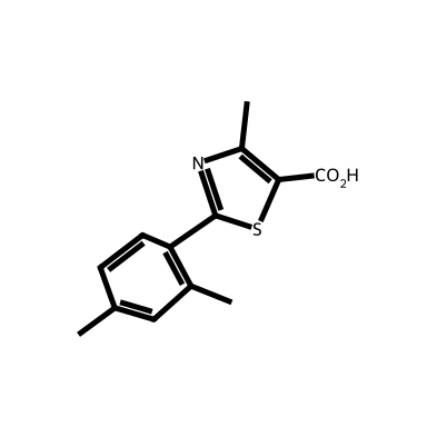 Cc1ccc(-c2nc(C)c(C(=O)O)s2)c(C)c1